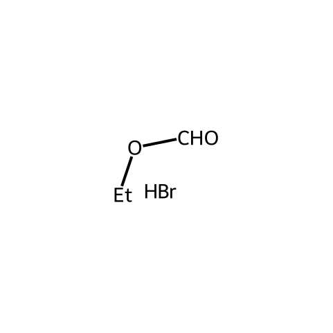 Br.CCOC=O